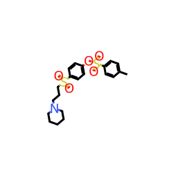 Cc1ccc(S(=O)(=O)Oc2ccc(S(=O)(=O)CCCN3CCCCC3)cc2)cc1